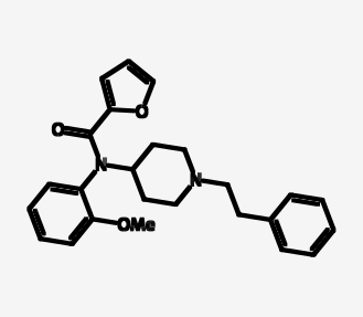 COc1ccccc1N(C(=O)c1ccco1)C1CCN(CCc2ccccc2)CC1